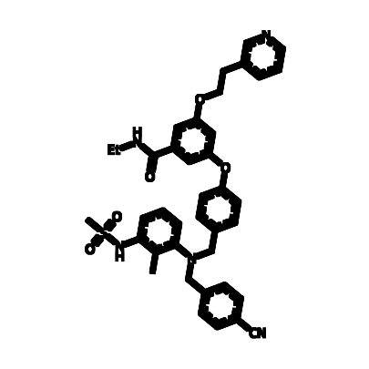 CCNC(=O)c1cc(OCCc2cccnc2)cc(Oc2ccc(CN(Cc3ccc(C#N)cc3)c3cccc(NS(C)(=O)=O)c3C)cc2)c1